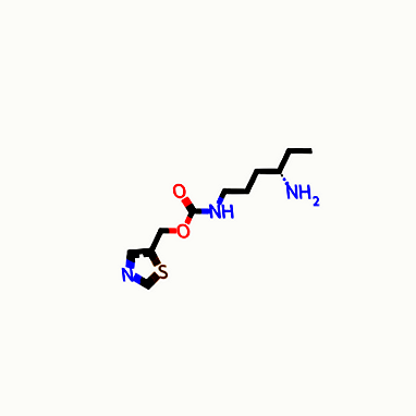 CC[C@H](N)CCCNC(=O)OCc1cncs1